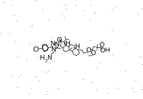 CC[C@H](CC[C@@]1(C)[C@H](C)CC[C@]2(C)[C@@H]1CC[C@@H]1C3=C(C(C)C)C(=O)C[C@]3(Cc3nnc(-c4ccc(Cl)cc4)n3CCN)CC[C@]12C)OC(=O)CC(C)(C)C(=O)O